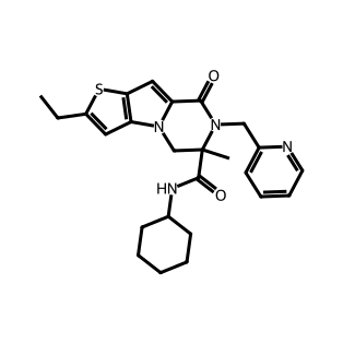 CCc1cc2c(cc3n2CC(C)(C(=O)NC2CCCCC2)N(Cc2ccccn2)C3=O)s1